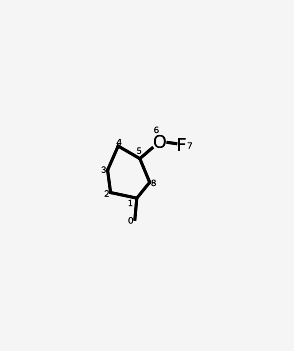 CC1CCCC(OF)C1